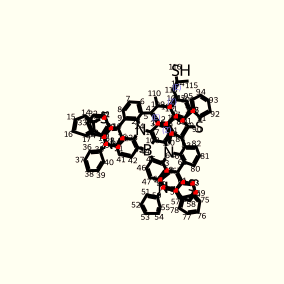 C/C=C\C=C(\c1cccc(C2=C3Sc4ccccc4C3CC=C2)c1N1c2cc(N(c3ccccc3)c3ccccc3)ccc2B2c3ccc(N(c4ccccc4)c4ccccc4)cc3N(c3c(-c4cccc5c4sc4ccccc45)cccc3-c3cccc4c3sc3ccccc34)c3cc(-c4ccccc4)cc1c32)C(C)/C=C\C=C(/C)S